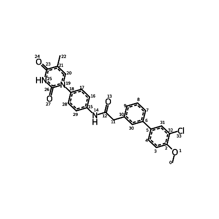 COc1ccc(-c2cccc(CC(=O)Nc3ccc(-n4cc(C)c(=O)[nH]c4=O)cc3)c2)cc1Cl